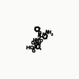 CC1C=C(C(=O)O)N2C(=O)C(NC(=O)C(=NOc3ccccc3)c3cccc(N)n3)[C@@H]2S1